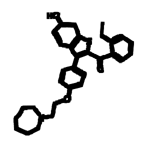 CCc1ccccc1C(=O)c1sc2cc(O)ccc2c1-c1ccc(OCCN2CCCCCC2)cc1